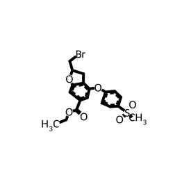 CCOC(=O)c1cc(Oc2ccc(S(C)(=O)=O)cc2)c2c(c1)OC(CBr)C2